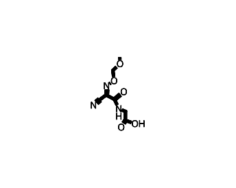 COCON=C(C#N)C(=O)NCC(=O)O